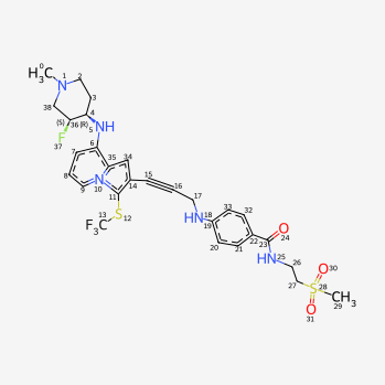 CN1CC[C@@H](Nc2cccn3c(SC(F)(F)F)c(C#CCNc4ccc(C(=O)NCCS(C)(=O)=O)cc4)cc23)[C@@H](F)C1